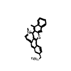 Cc1c2c(cc3ccccc13)Sc1c3ccc(CC(C)(C)C)cc3cc3cc[n+](C)c-2c13